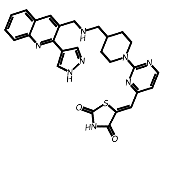 O=C1NC(=O)C(=Cc2ccnc(N3CCC(CNCc4cc5ccccc5nc4-c4cn[nH]c4)CC3)n2)S1